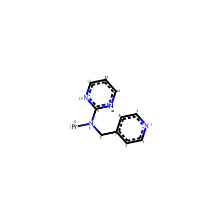 CC(C)N(Cc1ccncc1)c1ncccn1